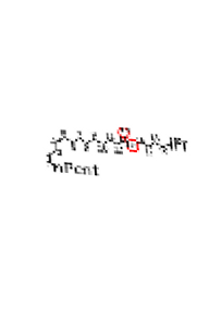 CCCCC/C=C\C/C=C\CCCCCCCC(=O)OCCCCC(C)C